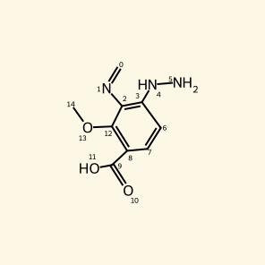 C=Nc1c(NN)ccc(C(=O)O)c1OC